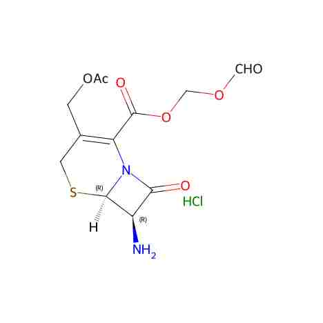 CC(=O)OCC1=C(C(=O)OCOC=O)N2C(=O)[C@@H](N)[C@H]2SC1.Cl